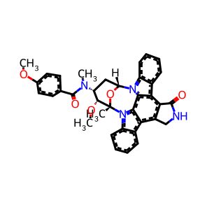 COc1ccc(C(=O)N(C)[C@@H]2C[C@H]3O[C@@](C)([C@@H]2OC)n2c4ccccc4c4c5c(c6c7ccccc7n3c6c42)C(=O)NC5)cc1